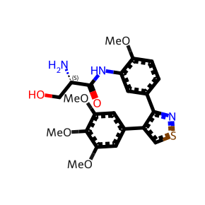 COc1ccc(-c2nscc2-c2cc(OC)c(OC)c(OC)c2)cc1NC(=O)[C@@H](N)CO